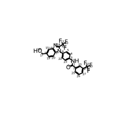 O=C(Nc1ccc(-n2c(C(F)(F)F)nc3cc(CO)ccc32)cc1)c1cccc(C(F)(F)F)c1